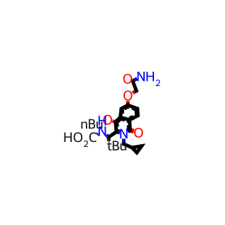 CCCCOc1c(C(NC(=O)O)C(C)(C)C)n(CC2CC2)c(=O)c2ccc(OCC(N)=O)cc12